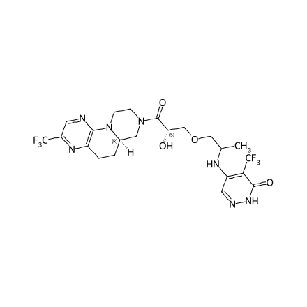 CC(COC[C@H](O)C(=O)N1CCN2c3ncc(C(F)(F)F)nc3CC[C@@H]2C1)Nc1cn[nH]c(=O)c1C(F)(F)F